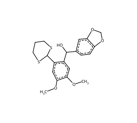 COc1cc(C2SCCCS2)c(C(O)c2ccc3c(c2)OCO3)cc1OC